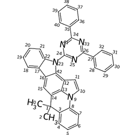 CC1(C)c2ccccc2-n2ccc3c2c1cc1c2ccccc2n(-c2nc(-c4ccccc4)nc(-c4ccccc4)n2)c13